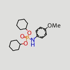 COc1ccc(NP(=O)(OC2CCCCC2)OC2CCCCC2)cc1